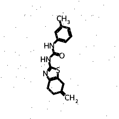 C=C1CCc2nc(NC(=O)Nc3cccc(C)c3)sc2C1